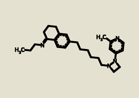 CCC/N=C1\CCCc2cc(CCCCCCN3CCN3c3ccnc(C)c3)ccc21